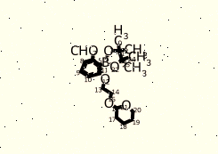 CC1(C)OB(c2c(C=O)cccc2OCCOC2CCCCO2)OC1(C)C